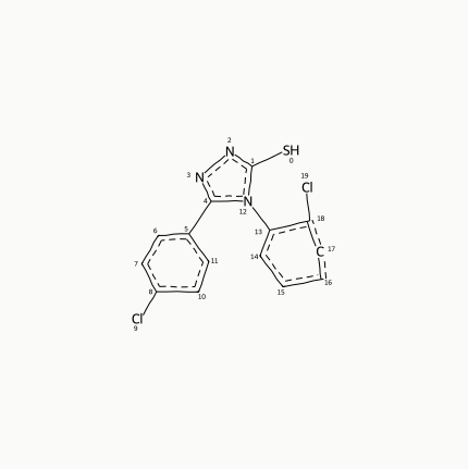 Sc1nnc(-c2ccc(Cl)cc2)n1-c1ccccc1Cl